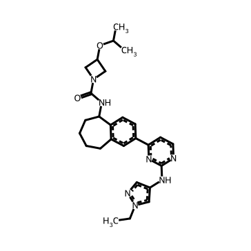 CCn1cc(Nc2nccc(-c3ccc4c(c3)CCCCC4NC(=O)N3CC(OC(C)C)C3)n2)cn1